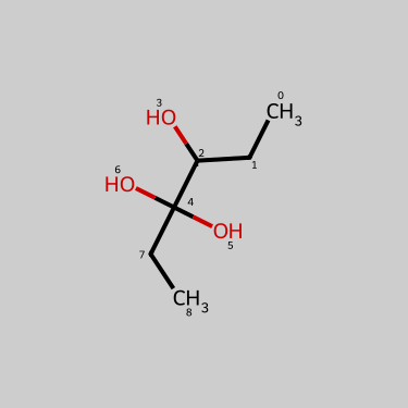 CC[C](O)C(O)(O)CC